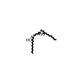 CCCCCCCCCC(O)C[N+](C)CCCCCC[N+](C)CC(O)CCCCCCCCC